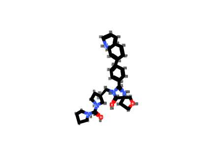 O=C(N1CCCC1)N1CC[C@@H](CN2C(=O)C3(CCOC3)N=C2c2ccc(-c3ccc4cccnc4c3)cc2)C1